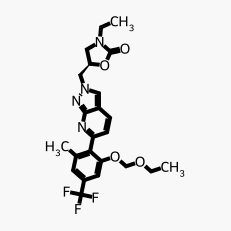 CCOCOc1cc(C(F)(F)F)cc(C)c1-c1ccc2cn(C[C@H]3CN(CC)C(=O)O3)nc2n1